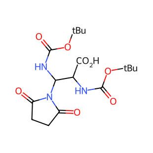 CC(C)(C)OC(=O)NC(C(=O)O)C(NC(=O)OC(C)(C)C)N1C(=O)CCC1=O